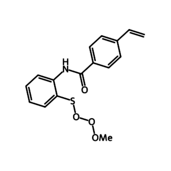 C=Cc1ccc(C(=O)Nc2ccccc2SOOOC)cc1